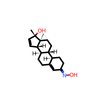 C[C@]1(O)C=C[C@H]2[C@@H]3CCC4=C/C(=N/O)CC[C@@H]4[C@H]3CC[C@@]21C